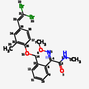 CNC(=O)/C(=N/OC)c1ccccc1COc1ccc(C=C(Br)Br)cc1C